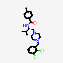 Cc1ccc(C(=O)N[C@@H](CN2CCN(Cc3cccc(Cl)c3Cl)CC2)C(C)C)cc1